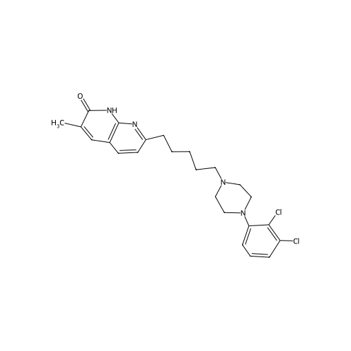 Cc1cc2ccc(CCCCCN3CCN(c4cccc(Cl)c4Cl)CC3)nc2[nH]c1=O